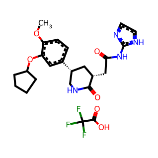 COc1ccc([C@H]2CNC(=O)[C@@H](CC(=O)Nc3ncc[nH]3)C2)cc1OC1CCCC1.O=C(O)C(F)(F)F